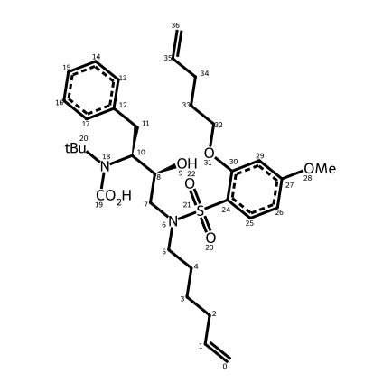 C=CCCCCN(C[C@H](O)[C@H](Cc1ccccc1)N(C(=O)O)C(C)(C)C)S(=O)(=O)c1ccc(OC)cc1OCCCC=C